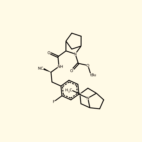 CN1CC2CCC(C1)N2c1ccc(C[C@@H](C#N)NC(=O)C2C3CCC(C3)N2C(=O)OC(C)(C)C)c(F)c1